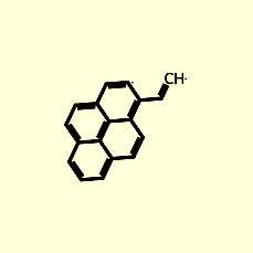 [CH]=Cc1[c]cc2ccc3cccc4ccc1c2c34